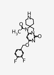 CC(=O)N1c2cc(OCc3ccc(F)c(F)c3)nc(=O)n2CC12CCNCC2